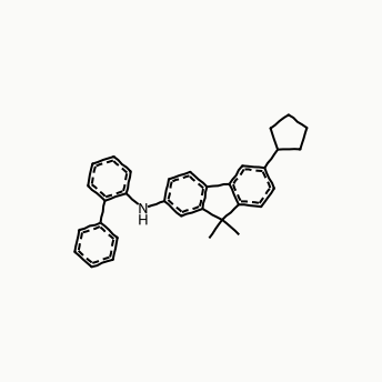 CC1(C)c2ccc(C3CCCC3)cc2-c2ccc(Nc3ccccc3-c3ccccc3)cc21